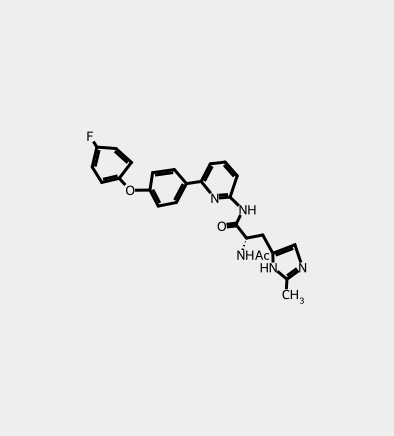 CC(=O)N[C@@H](Cc1cnc(C)[nH]1)C(=O)Nc1cccc(-c2ccc(Oc3ccc(F)cc3)cc2)n1